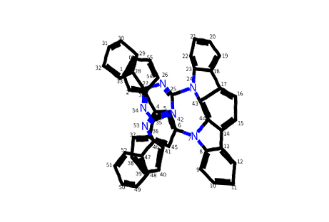 c1ccc(-c2cc(-n3c4ccccc4c4ccc5c6ccccc6n(-c6nc(-c7ccccc7)nc(-c7ccccc7)n6)c5c43)cc(-c3ccccc3)n2)cc1